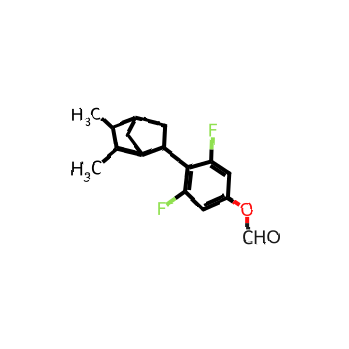 CC1C2CC(c3c(F)cc(OC=O)cc3F)C(C2)C1C